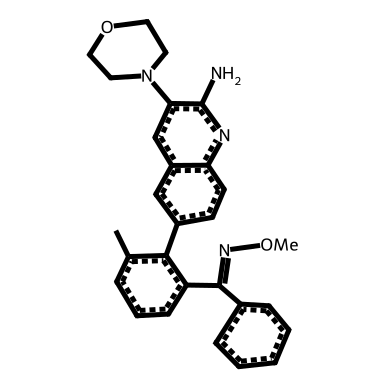 CO/N=C(\c1ccccc1)c1cccc(C)c1-c1ccc2nc(N)c(N3CCOCC3)cc2c1